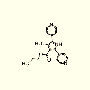 CCCOC(=O)c1c(-c2ccncc2)[nH]c(-c2ccncc2)c1C